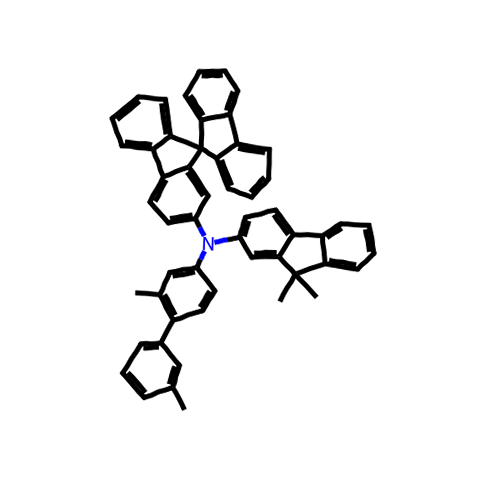 Cc1cccc(-c2ccc(N(c3ccc4c(c3)C(C)(C)c3ccccc3-4)c3ccc4c(c3)C3(c5ccccc5-c5ccccc53)c3ccccc3-4)cc2C)c1